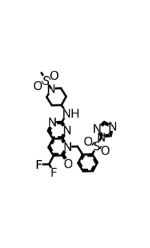 CS(=O)(=O)N1CCC(Nc2ncc3cc(C(F)F)c(=O)n(Cc4ccccc4S(=O)(=O)n4cncn4)c3n2)CC1